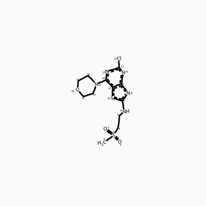 CS(=O)(=O)CCNc1nc2nc(Cl)nc(N3CCOCC3)c2s1